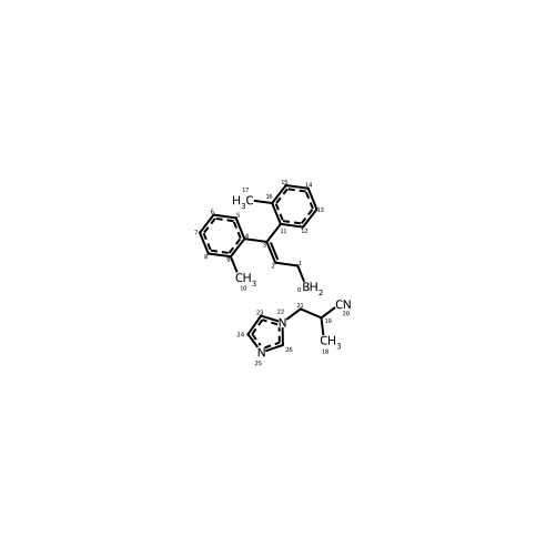 BCC=C(c1ccccc1C)c1ccccc1C.CC(C#N)Cn1ccnc1